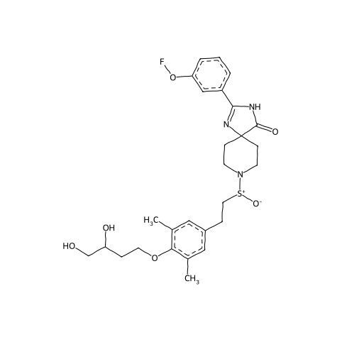 Cc1cc(CC[S+]([O-])N2CCC3(CC2)N=C(c2cccc(OF)c2)NC3=O)cc(C)c1OCCC(O)CO